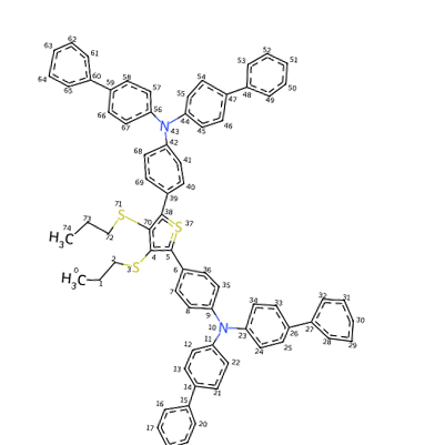 CCCSc1c(-c2ccc(N(c3ccc(-c4ccccc4)cc3)c3ccc(-c4ccccc4)cc3)cc2)sc(-c2ccc(N(c3ccc(-c4ccccc4)cc3)c3ccc(-c4ccccc4)cc3)cc2)c1SCCC